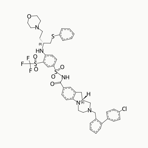 O=C(NS(=O)(=O)c1ccc(N[C@H](CCN2CCOCC2)CSc2ccccc2)c(S(=O)(=O)C(F)(F)F)c1)c1ccc2c(c1)C[C@@H]1CN(Cc3ccccc3-c3ccc(Cl)cc3)CCN21